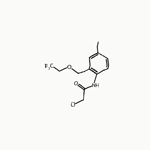 Cc1ccc(NC(=O)CCl)c(COCC(F)(F)F)c1